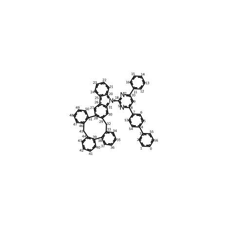 c1ccc(-c2ccc(-c3cc(-c4ccccc4)nc(-n4c5ccccc5c5cc6c(cc54)Cc4ccccc4-c4ccccc4Cc4ccccc4-6)n3)cc2)cc1